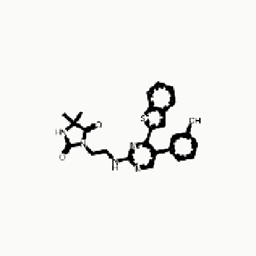 CC1(C)NC(=O)N(CCNc2ncc(-c3cccc(O)c3)c(-c3cc4ccccc4s3)n2)C1=O